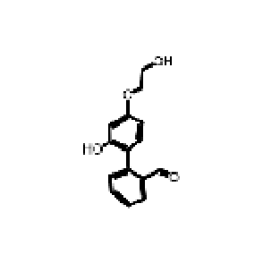 O=Cc1ccccc1-c1ccc(OCCO)cc1O